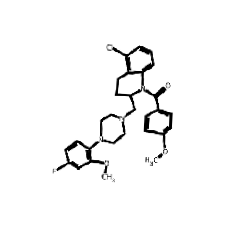 COc1ccc(C(=O)N2c3cccc(Cl)c3CCC2CN2CCN(c3ccc(F)cc3OC)CC2)cc1